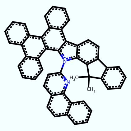 CC1(C)c2ccccc2-c2ccc3c4c5ccccc5c5c6ccccc6c6ccccc6c5c4n(-c4ccc5ccc6ccccc6c5n4)c3c21